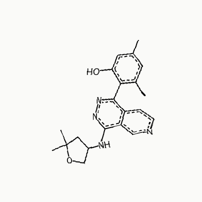 Cc1cc(C)c(-c2nnc(NC3COC(C)(C)C3)c3cnccc23)c(O)c1